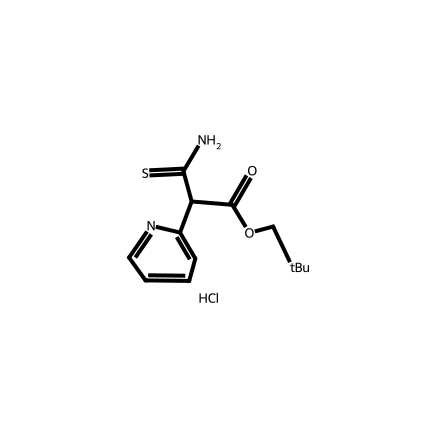 CC(C)(C)COC(=O)C(C(N)=S)c1ccccn1.Cl